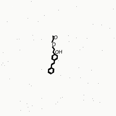 OC1(CCCOCC2CO2)C=CC(C=Cc2ccccc2)=CC1